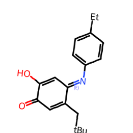 CCc1ccc(/N=C2\C=C(O)C(=O)C=C2CC(C)(C)C)cc1